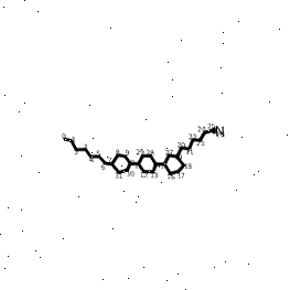 CCCCCCCC1CCC(C2CCC(C3CCCC(CCCCCC#N)C3)CC2)CC1